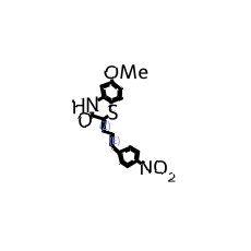 COc1ccc2c(c1)NC(=O)/C(=C/C=C/c1ccc([N+](=O)[O-])cc1)S2